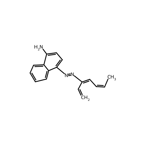 C=CC(=C\C=C/C)/N=N/c1ccc(N)c2ccccc12